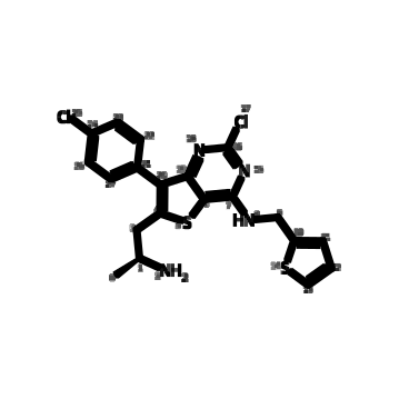 C[C@H](N)Cc1sc2c(NCc3cccs3)nc(Cl)nc2c1-c1ccc(Cl)cc1